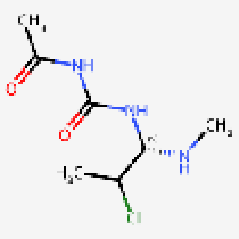 CN[C@@H](NC(=O)NC(C)=O)C(C)Cl